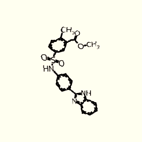 COC(=O)c1cc(S(=O)(=O)Nc2ccc(-c3nc4ccccc4[nH]3)cc2)ccc1C